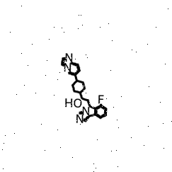 OC(CC1c2c(F)cccc2-c2cncn21)C1CCC(c2ccc3nccn3c2)CC1